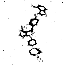 CN1CCN([C@H]2CC[C@H](n3nc(-c4ccc(NC5COc6cccc(Cl)c65)cc4)c4c(N)ncnc43)CC2)CC1